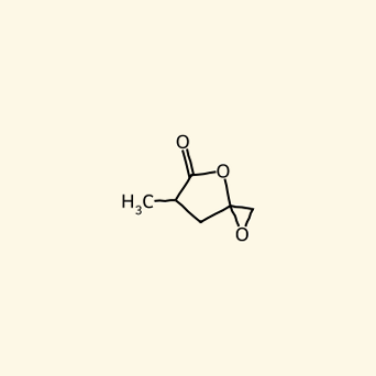 CC1CC2(CO2)OC1=O